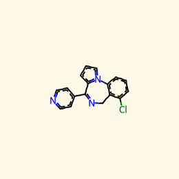 Clc1cccc2c1CN=C(c1ccncc1)c1cccn1-2